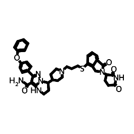 NC(=O)c1c(-c2ccc(Oc3ccccc3)cc2)nn2c1NCCC2C1CCN(CCCSc2cccc3c2CN(C2CCC(=O)NC2=O)C3=O)CC1